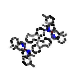 Cc1cccc(N(c2cccc(C)c2)c2ccc3c(c2)C2(c4cc(N(c5cccc(C)c5)c5cccc(C)c5)ccc4-3)c3cc(N(c4cccc(C)c4)c4cccc(C)c4)ccc3-c3ccc(N(c4cccc(C)c4)c4cccc(C)c4)cc32)c1